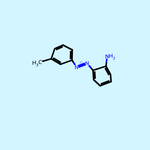 Cc1cccc(/N=N/c2ccccc2N)c1